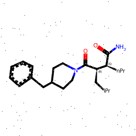 CCC[C@H](C(N)=O)[C@@H](CC(C)C)C(=O)N1CCC(Cc2ccccc2)CC1